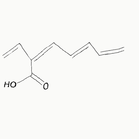 C=CC=CC=C(C=C)C(=O)O